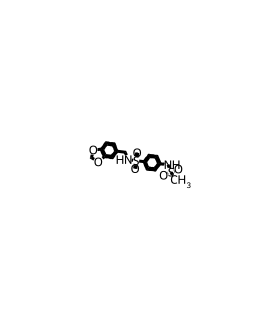 CS(=O)(=O)Nc1ccc(S(=O)(=O)NCc2ccc3c(c2)OCO3)cc1